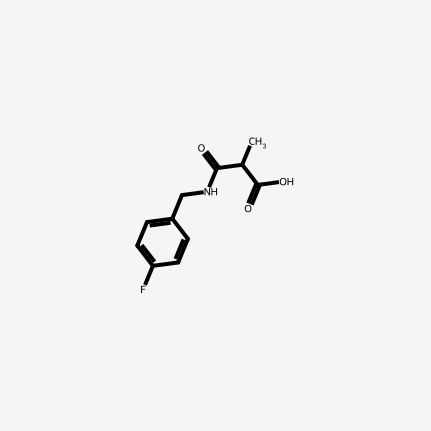 CC(C(=O)O)C(=O)NCc1ccc(F)cc1